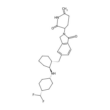 C=C1CCC(N2Cc3cc(C[C@H]4CCCC[C@@H]4N[C@H]4CC[C@@H](C(F)F)CC4)ccc3C2=O)C(=O)N1